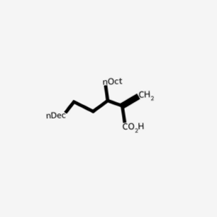 C=C(C(=O)O)C(CCCCCCCC)CCCCCCCCCCCC